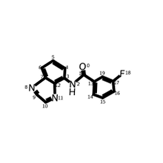 O=C(Nc1cccc2nccnc12)c1cccc(F)c1